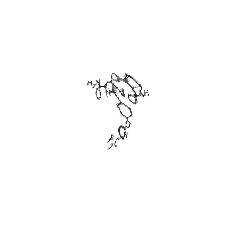 NC(=O)c1cc(OC2CCNC2=O)nc(C2CCC(Oc3ccc(C(F)(F)F)cn3)CC2)n1